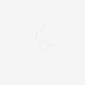 CC(C)(C)C(Cn1cnc(C(F)(F)F)c1)=NO